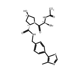 Cc1ncsc1-c1ccc(CNC(=O)[C@@H]2C[C@@H](O)CN2C(=O)[C@@H](NC(=O)C(Cl)(Cl)Cl)C(C)(C)C)cc1